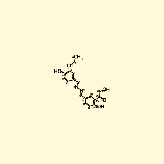 CCOc1cc(/C=N/N=C/c2ccc(O)c(C(=O)CO)c2)ccc1O